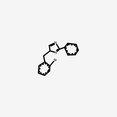 Brc1ccccc1CC1C=NC(c2ccccc2)=N1